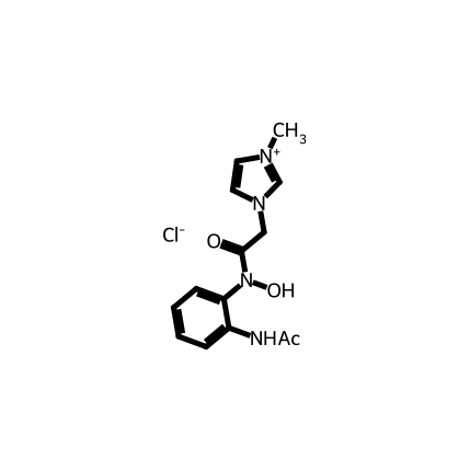 CC(=O)Nc1ccccc1N(O)C(=O)Cn1cc[n+](C)c1.[Cl-]